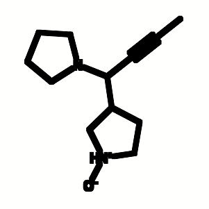 CC#CC(C1CC[NH+]([O-])C1)N1CCCC1